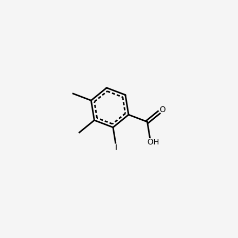 Cc1ccc(C(=O)O)c(I)c1C